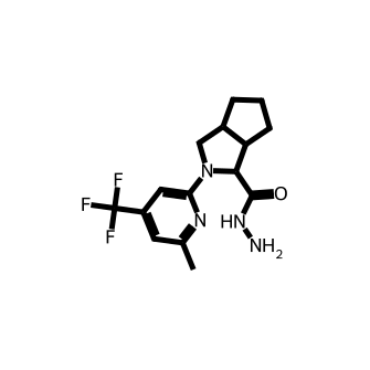 Cc1cc(C(F)(F)F)cc(N2CC3CCCC3C2C(=O)NN)n1